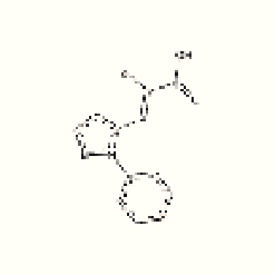 O=C(O)C(Br)=Cc1ccnn1-c1ccccc1